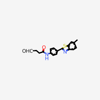 Cc1ccc2nc(-c3ccc(NC(=O)CCC=O)cc3)sc2c1